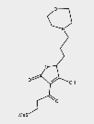 CSCCC(=O)C1=C(O)C(CCCN2CCOCC2)OC1=O